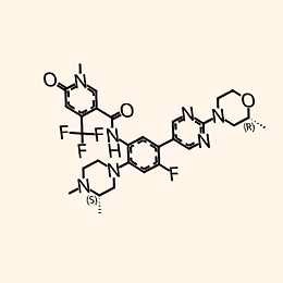 C[C@@H]1CN(c2ncc(-c3cc(NC(=O)c4cn(C)c(=O)cc4C(F)(F)F)c(N4CCN(C)[C@@H](C)C4)cc3F)cn2)CCO1